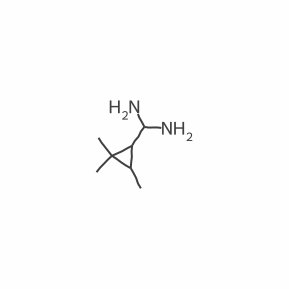 CC1C(C(N)N)C1(C)C